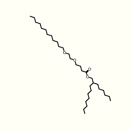 CCCCCCCCCCCCOCCOCCCC(=O)OCC(CCCCCC)CCCCCCCC